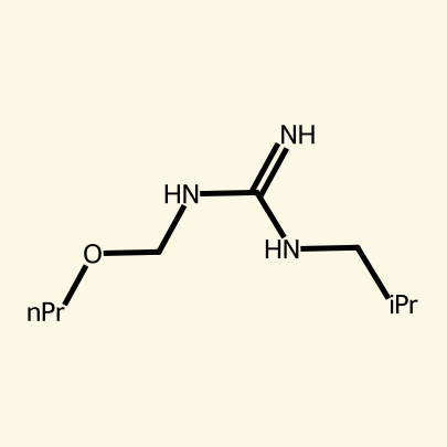 CCCOCNC(=N)NCC(C)C